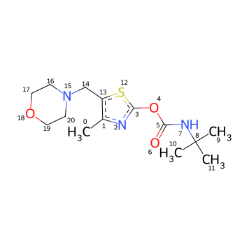 Cc1nc(OC(=O)NC(C)(C)C)sc1CN1CCOCC1